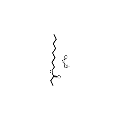 CCCCCCCCOC(=O)CC.O=NO